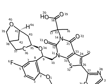 COc1ccc(F)cc1[C@H](Cn1c(=O)n(C(C)(C)C(=O)O)c(=O)c2c(C)c(-c3ncco3)sc21)O[C@H]1CCC2CO[C@H](C2)C1